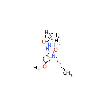 CCCCCCN1C(=O)/C(=N\NC(=O)C(C)(C)C)c2ccc(OC)cc21